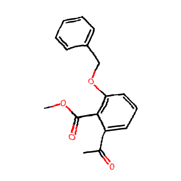 COC(=O)c1c(OCc2ccccc2)cccc1C(C)=O